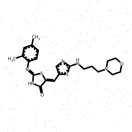 Cc1ccc(/N=C2/NC(=O)/C(=C/c3cnc(NCCCN4CCOCC4)s3)S2)c(C)c1